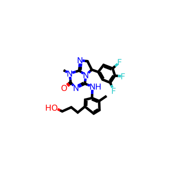 Cc1ccc(CCCO)cc1NC1=NC(=O)N(C)C2=NCC(c3cc(F)c(F)c(F)c3)N12